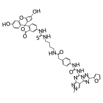 Cn1cc2c(nc(NC(=O)Nc3ccc(CC(=O)NCCCCNC(=S)Nc4ccc5c(c4)C(=O)OC54c5ccc(O)cc5Oc5cc(O)ccc54)cc3)n3nc(-c4ccco4)nc23)n1